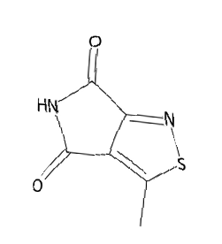 Cc1snc2c1C(=O)NC2=O